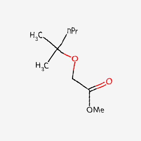 CCCC(C)(C)OCC(=O)OC